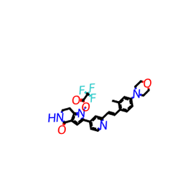 Cc1cc(N2CCOCC2)ccc1C=Cc1cc(-c2cc3c(n2OC(=O)C(F)(F)F)CCNC3=O)ccn1